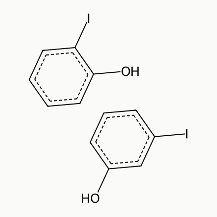 Oc1cccc(I)c1.Oc1ccccc1I